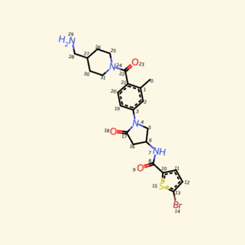 Cc1cc(N2CC(NC(=O)c3ccc(Br)s3)CC2=O)ccc1C(=O)N1CCC(CN)CC1